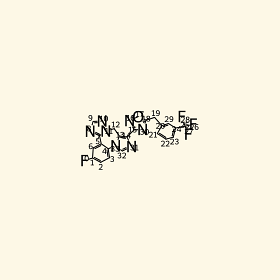 Fc1ccc2c(c1)-c1ncnn1Cc1c(-c3noc(Cc4cccc(C(F)(F)F)c4)n3)ncn1-2